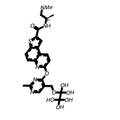 CNC[C@@H](C)NC(=O)c1cc2c(ccc3nc(Oc4nc(C)ncc4COC(O)(O)C(O)(O)O)ccc32)s1